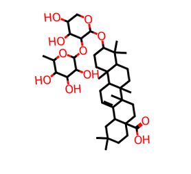 CC1OC(OC2C(OC3CCC4(C)C(CCC5(C)C4CC=C4C6CC(C)(C)CCC6(C(=O)O)CCC45C)C3(C)C)OCC(O)C2O)C(O)C(O)C1O